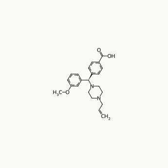 C=CCN1CCN([C@H](c2ccc(C(=O)O)cc2)c2cccc(OC)c2)CC1